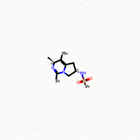 CC(C)C1=N[C@@H](C)C(C(C)(C)C)=C2C[C@H](NS(=O)(=O)C(C)C)CN12